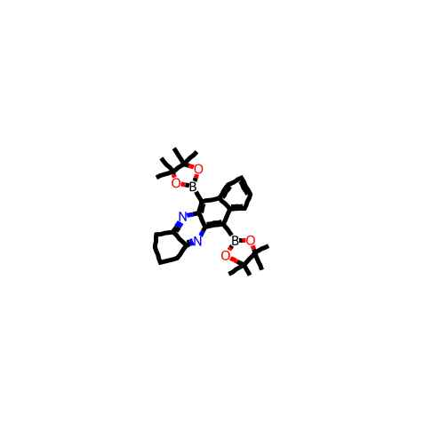 CC1(C)OB(c2c3ccccc3c(B3OC(C)(C)C(C)(C)O3)c3nc4c(nc23)CCCC4)OC1(C)C